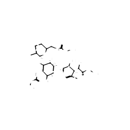 CC1=CO[C@H](O[C@@H]2C(O)C(O[C@H]3OC(CNC(=O)OC(C)(C)C)CCC3C)[C@@H](NC(=O)OC(C)(C)C)C(O)[C@H]2C)C(O)[C@H]1C(N)C(=O)OC(C)(C)C